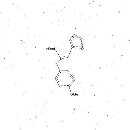 CCCCCN(Cc1ccc(OC)cc1)Cc1ccco1